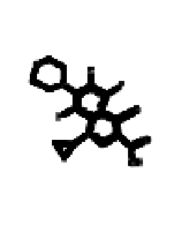 O=C(O)c1cn(C2CC2)c2c(F)c(N3CCOCC3)c(F)c(F)c2c1=O